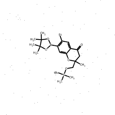 CCc1cc2c(cc1B1OC(C)(C)C(C)(C)O1)OC(C)(CO[Si](C)(C)C(C)(C)C)CC2=O